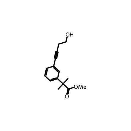 COC(=O)C(C)(C)c1cccc(C#CCCO)c1